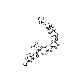 COCCNS(=O)(=O)c1ccc(Oc2ccc(CN3CCC(N(C(=O)Nc4ccc(Cl)cn4)C4CC4)CC3)cn2)cc1